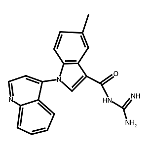 Cc1ccc2c(c1)c(C(=O)NC(=N)N)cn2-c1ccnc2ccccc12